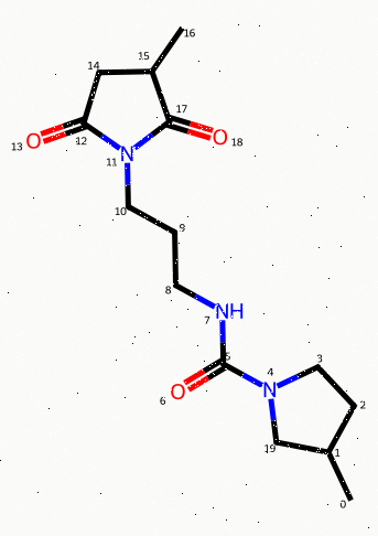 CC1CCN(C(=O)NCCCN2C(=O)CC(C)C2=O)C1